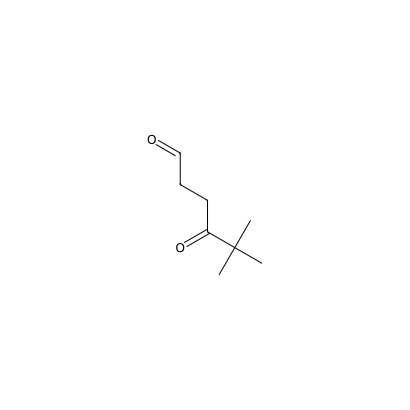 CC(C)(C)C(=O)CCC=O